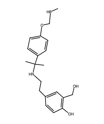 CBCOc1ccc(C(C)(C)NCCc2ccc(O)c(CO)c2)cc1